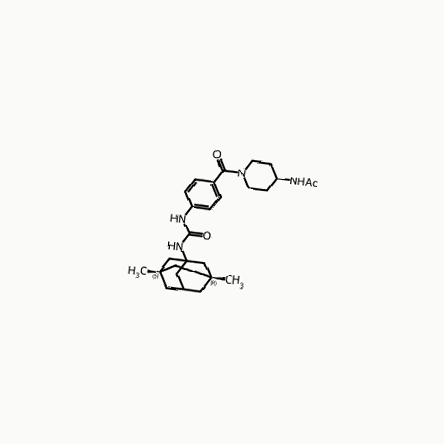 CC(=O)NC1CCN(C(=O)c2ccc(NC(=O)NC34CC5C[C@@](C)(C3)C[C@](C)(C5)C4)cc2)CC1